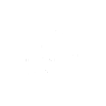 C=C=CC(C)CC(/C=C\C(=N)NC(C)=C(C)C)=C/C